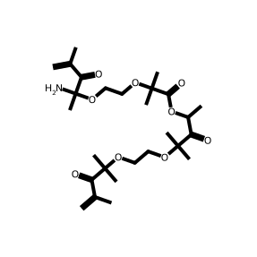 C=C(C)C(=O)C(C)(C)OCCOC(C)(C)C(=O)C(C)OC(=O)C(C)(C)OCCOC(C)(N)C(=O)C(=C)C